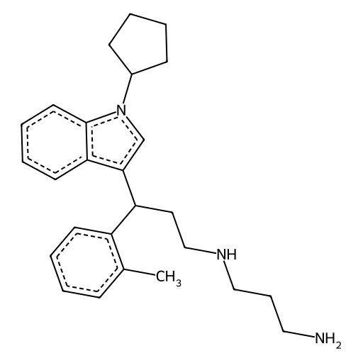 Cc1ccccc1C(CCNCCCN)c1cn(C2CCCC2)c2ccccc12